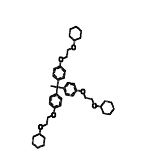 CC(c1ccc(OCCOC2CCCCC2)cc1)(c1ccc(OCCOC2CCCCC2)cc1)c1ccc(OCCOC2CCCCC2)cc1